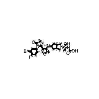 O=C(O)NS(=O)(=O)N1CC2CC(Nc3nonc3-c3noc(=O)n3-c3ccc(F)c(Br)c3)CC2C1